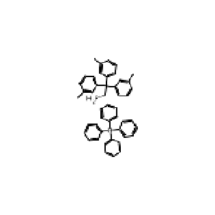 Cc1cccc(C(C[PH3+])(c2cccc(C)c2)c2cccc(C)c2)c1.c1ccc([B-](c2ccccc2)(c2ccccc2)c2ccccc2)cc1